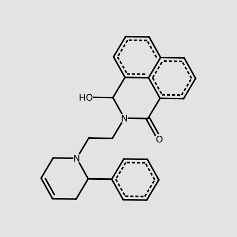 O=C1c2cccc3cccc(c23)C(O)N1CCN1CC=CCC1c1ccccc1